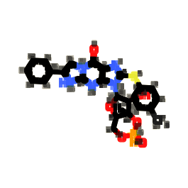 O=c1c2nc(Sc3ccc(C(F)(F)F)cc3)n([C@@H]3OC4CO[PH](=O)O[C@H]4[C@@H]3O)c2nc2[nH]c(-c3ccccc3)cn12